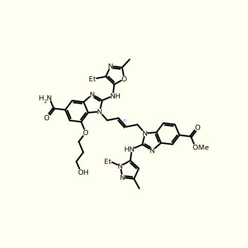 CCc1nc(C)oc1Nc1nc2cc(C(N)=O)cc(OCCCO)c2n1C/C=C/Cn1c(Nc2cc(C)nn2CC)nc2cc(C(=O)OC)ccc21